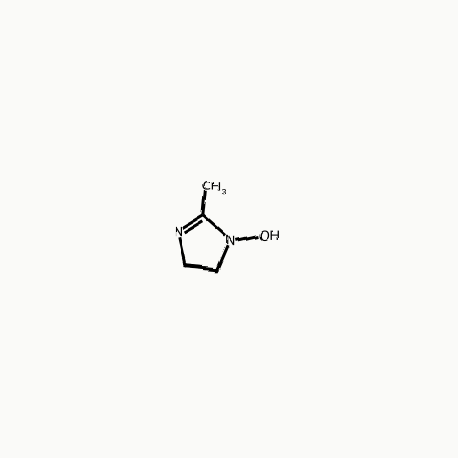 CC1=NCCN1O